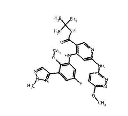 BC(B)(B)NC(=O)c1cnc(Nc2ccc(OC)nn2)cc1Nc1cc(F)cc(-c2cnn(C)n2)c1OC